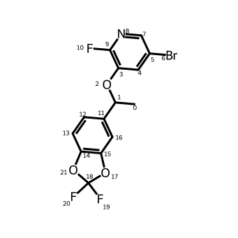 CC(Oc1cc(Br)cnc1F)c1ccc2c(c1)OC(F)(F)O2